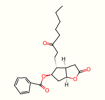 CCCCCC(=O)CC[C@@H]1[C@H]2CC(=O)O[C@H]2C[C@H]1OC(=O)c1ccccc1